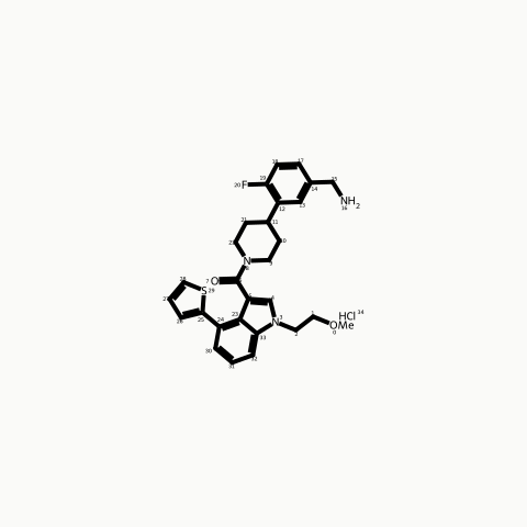 COCCn1cc(C(=O)N2CCC(c3cc(CN)ccc3F)CC2)c2c(-c3cccs3)cccc21.Cl